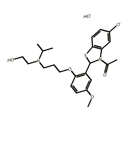 COc1ccc(OCCCN(CCO)C(C)C)c(C2Sc3ccc(Cl)cc3N2C(C)=O)c1.Cl